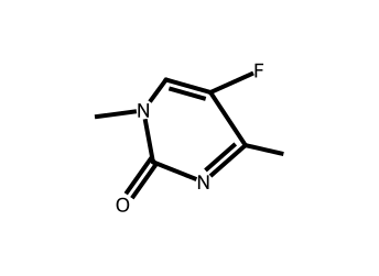 Cc1nc(=O)n(C)cc1F